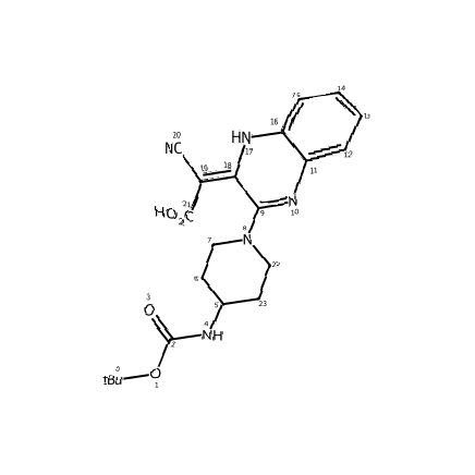 CC(C)(C)OC(=O)NC1CCN(C2=Nc3ccccc3N/C2=C(\C#N)C(=O)O)CC1